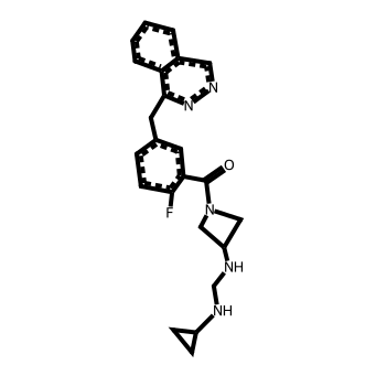 O=C(c1cc(Cc2nncc3ccccc23)ccc1F)N1CC(NCNC2CC2)C1